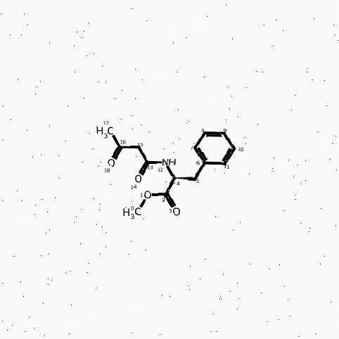 COC(=O)[C@H](Cc1ccccc1)NC(=O)CC(C)=O